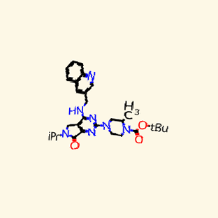 CC(C)N1Cc2c(NCc3cnc4ccccc4c3)nc(N3CCN(C(=O)OC(C)(C)C)C(C)C3)nc2C1=O